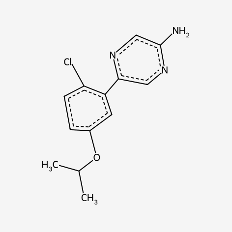 CC(C)Oc1ccc(Cl)c(-c2cnc(N)cn2)c1